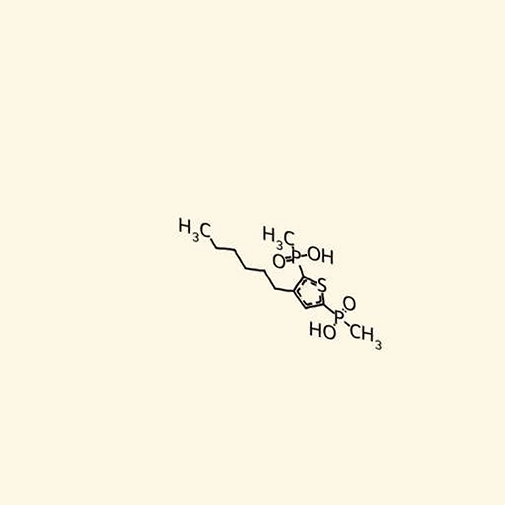 CCCCCCc1cc(P(C)(=O)O)sc1P(C)(=O)O